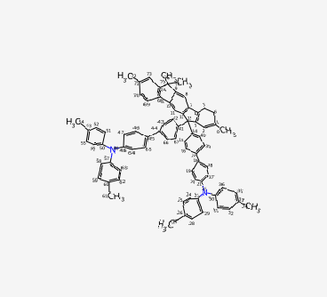 CC1=CC2=C(CC1)c1cc3c(cc1C2(c1ccc(-c2ccc(N(c4ccc(C)cc4)c4ccc(C)cc4)cc2)cc1)c1ccc(-c2ccc(N(c4ccc(C)cc4)c4ccc(C)cc4)cc2)cc1)-c1ccc(C)cc1C3(C)C